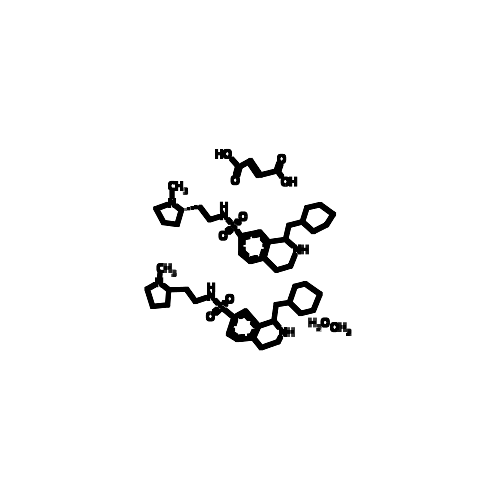 CN1CCCC1CCNS(=O)(=O)c1ccc2c(c1)C(CC1CCCCC1)NCC2.CN1CCC[C@H]1CCNS(=O)(=O)c1ccc2c(c1)C(CC1CCCCC1)NCC2.O.O.O=C(O)/C=C/C(=O)O